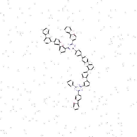 c1ccc(-c2nc(-c3ccc4c(c3)oc3ccccc34)nc(-c3cccc4c3oc3ccc(-c5cccc6c5sc5cc(-c7ccc(-c8nc(-c9ccc%10oc%11ccccc%11c%10c9)nc(-c9cccc%10c9oc9ccc(-c%11cccc%12c%11sc%11ccccc%11%12)cc9%10)n8)cc7)ccc56)cc34)n2)cc1